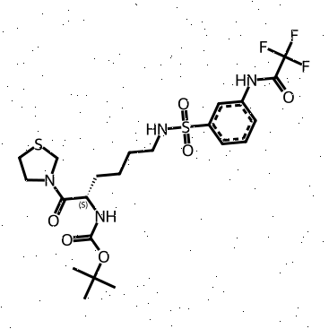 CC(C)(C)OC(=O)N[C@@H](CCCCNS(=O)(=O)c1cccc(NC(=O)C(F)(F)F)c1)C(=O)N1CCSC1